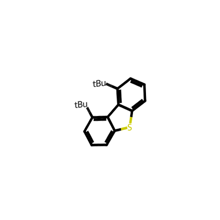 CC(C)(C)c1cccc2sc3cccc(C(C)(C)C)c3c12